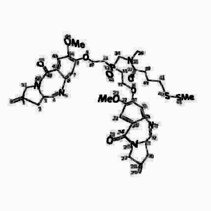 C=C1CC2C=Nc3cc(OCCP(=O)(CCOc4cc5c(cc4OC)C(=O)N4CC(=C)CC4C=N5)CN(C)C(=O)CCCSSC)c(OC)cc3C(=O)N2C1